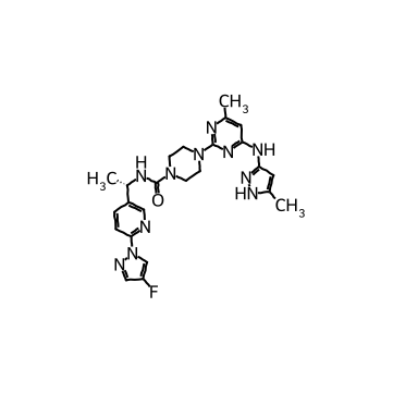 Cc1cc(Nc2cc(C)[nH]n2)nc(N2CCN(C(=O)N[C@@H](C)c3ccc(-n4cc(F)cn4)nc3)CC2)n1